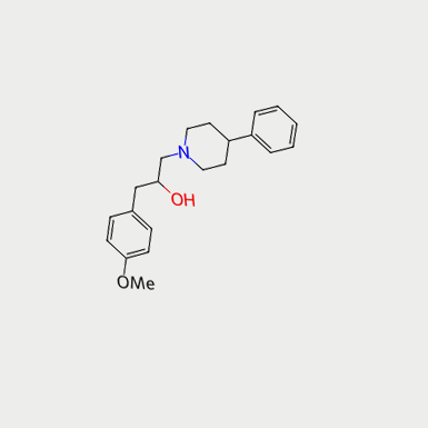 COc1ccc(CC(O)CN2CCC(c3ccccc3)CC2)cc1